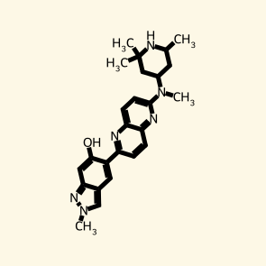 CC1CC(N(C)c2ccc3nc(-c4cc5cn(C)nc5cc4O)ccc3n2)CC(C)(C)N1